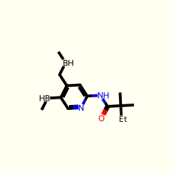 CBCc1cc(NC(=O)C(C)(C)CC)ncc1BC